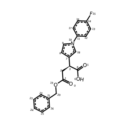 O=C(C[C@H](C(=O)O)c1ccn(-c2ccc(F)cc2)c1)OCc1ccccc1